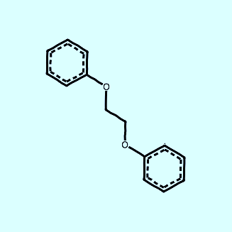 [c]1ccccc1OCCOc1ccccc1